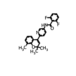 Cc1cccc2c1OC(C)(C)C=C2c1ccc(NC(=O)c2c(F)cccc2F)cn1